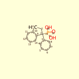 [CH2]CC(c1ccccc1)(c1ccccc1)P(=O)(O)O